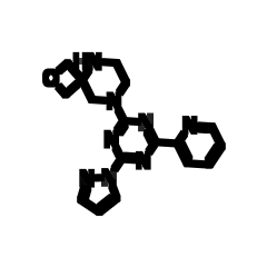 c1ccc(-c2nc(N3CCNC4(COC4)C3)nc(-n3cccn3)n2)nc1